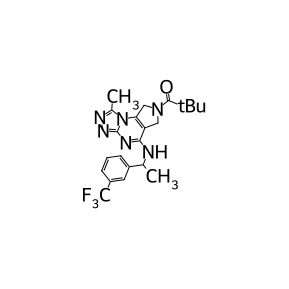 Cc1nnc2nc(NC(C)c3cccc(C(F)(F)F)c3)c3c(n12)CN(C(=O)C(C)(C)C)C3